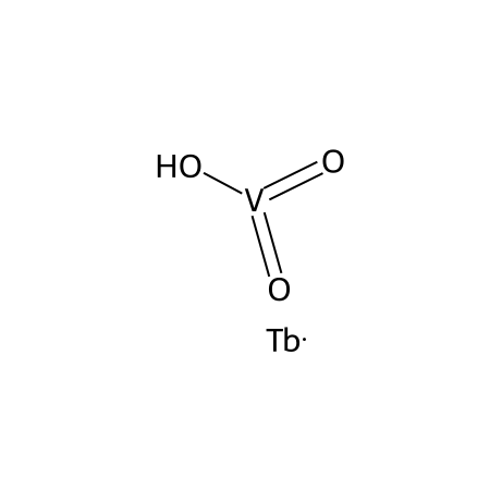 [O]=[V](=[O])[OH].[Tb]